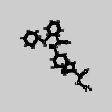 COC(=O)c1cc2cc(NC(=O)c3ccccc3Oc3ccccc3)cnc2[nH]1